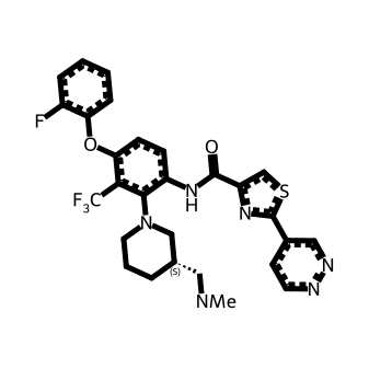 CNC[C@@H]1CCCN(c2c(NC(=O)c3csc(-c4ccnnc4)n3)ccc(Oc3ccccc3F)c2C(F)(F)F)C1